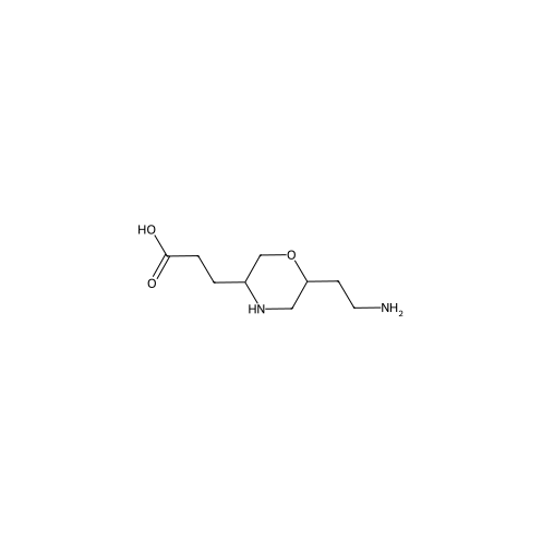 NCCC1CNC(CCC(=O)O)CO1